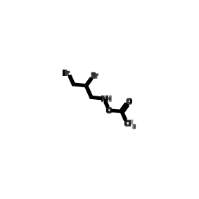 O=C(ONCC(Br)CBr)C(F)(F)F